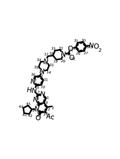 CC(=O)c1c(C)c2cnc(Nc3ccc(N4CCN(CC5CCN(C(=O)Oc6ccc([N+](=O)[O-])cc6)CC5)CC4)cn3)nc2n(C2CCCC2)c1=O